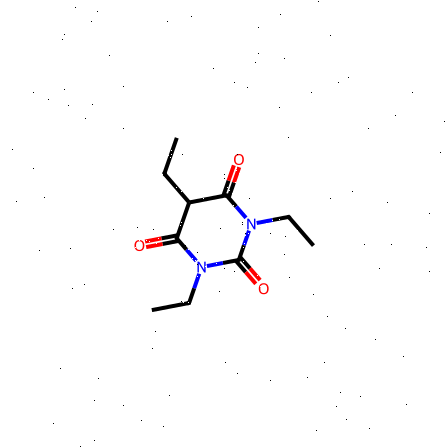 CCC1C(=O)N(CC)C(=O)N(CC)C1=O